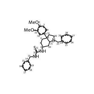 COc1ccc(C23CCC(NC(=S)NCc4ccccc4)CC2N(Cc2ccccc2)CC3)cc1OC